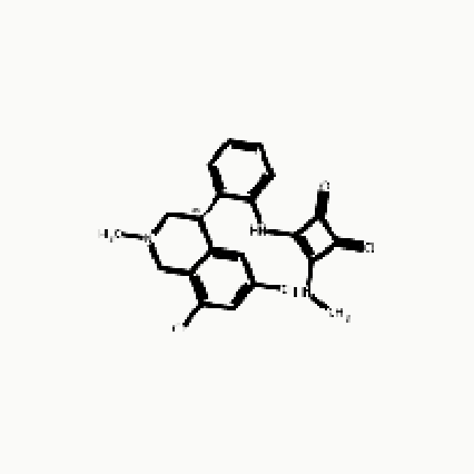 CNc1c(Nc2ccccc2[C@@H]2CN(C)Cc3c(Cl)cc(Cl)cc32)c(=O)c1=O